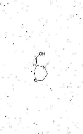 CN1CCOC[C@H]1CO